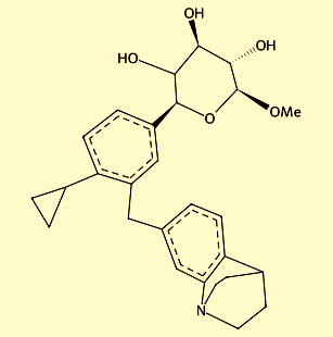 CO[C@H]1O[C@@H](c2ccc(C3CC3)c(Cc3ccc4c(c3)N3CCC4CC3)c2)C(O)[C@@H](O)[C@@H]1O